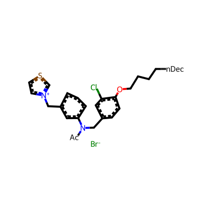 CCCCCCCCCCCCCCOc1ccc(CN(C(C)=O)c2cccc(C[n+]3ccsc3)c2)cc1Cl.[Br-]